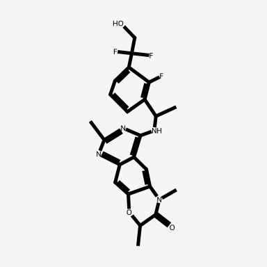 Cc1nc(NC(C)c2cccc(C(F)(F)CO)c2F)c2cc3c(cc2n1)OC(C)C(=O)N3C